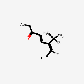 CC/C(C)=C(/C=C/C(=O)CC(C)=O)C(C)(C)CC